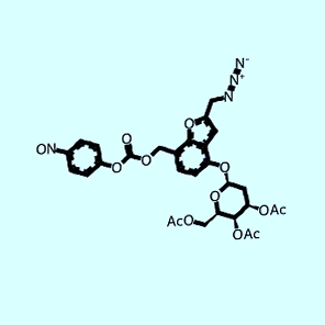 CC(=O)OC[C@H]1O[C@@H](Oc2ccc(COC(=O)Oc3ccc(N=O)cc3)c3oc(CN=[N+]=[N-])cc23)C[C@@H](OC(C)=O)[C@H]1OC(C)=O